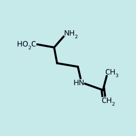 C=C(C)NCCC(N)C(=O)O